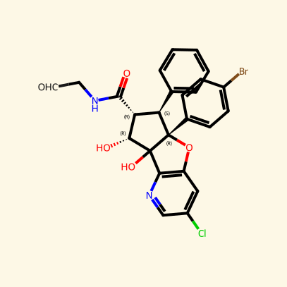 O=CCNC(=O)[C@H]1[C@@H](O)C2(O)c3ncc(Cl)cc3O[C@@]2(c2ccc(Br)cc2)[C@@H]1c1ccccc1